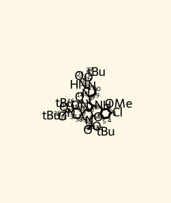 COc1c(Cl)cccc1Nc1c2c(n(C(=O)OC(C)(C)C)c1-c1ccnc(NC(=O)OC(C)(C)C)n1)C1(CCN(C(=O)OC(C)(C)C)CC1)CN(C(=O)OC(C)(C)C)C2=O